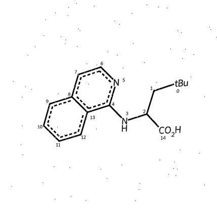 CC(C)(C)CC(Nc1nccc2ccccc12)C(=O)O